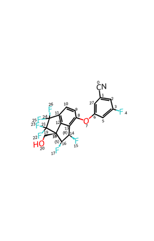 N#Cc1cc(F)cc(Oc2ccc3c4c2[C@@H](F)[C@@H](F)[C@]4(CO)C(F)(F)C3(F)F)c1